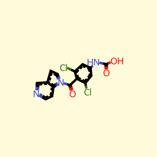 O=C(O)Nc1cc(Cl)c(C(=O)n2ccc3cnccc32)c(Cl)c1